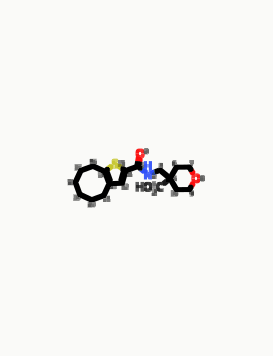 O=C(NCC1(C(=O)O)CCOCC1)c1cc2c(s1)CCCCCC2